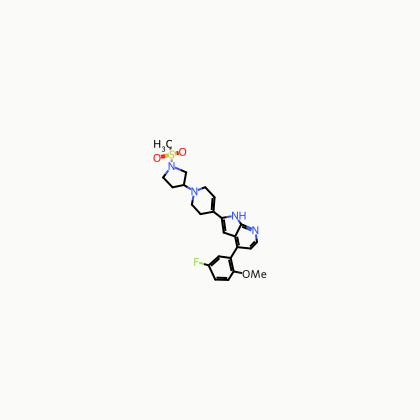 COc1ccc(F)cc1-c1ccnc2[nH]c(C3=CCN(C4CCN(S(C)(=O)=O)C4)CC3)cc12